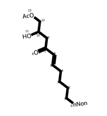 CCCCCCCCCCCCCC=CC(=O)CC(O)COC(C)=O